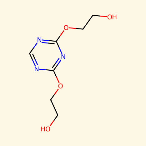 OCCOc1ncnc(OCCO)n1